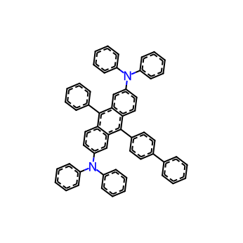 c1ccc(-c2ccc(-c3c4ccc(N(c5ccccc5)c5ccccc5)cc4c(-c4ccccc4)c4ccc(N(c5ccccc5)c5ccccc5)cc34)cc2)cc1